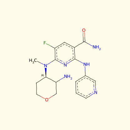 CN(c1nc(Nc2cccnc2)c(C(N)=O)cc1F)[C@@H]1CCOCC1N